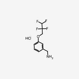 Cl.NCc1cccc(OCC(F)(F)C(F)F)c1